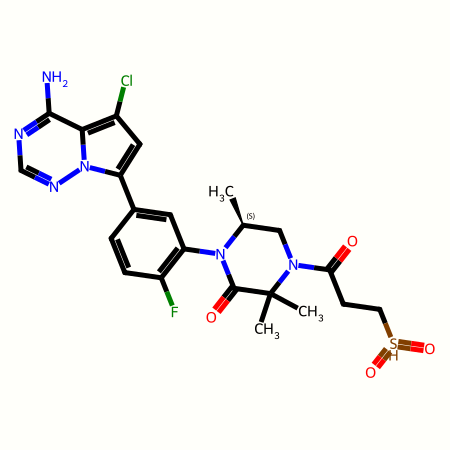 C[C@H]1CN(C(=O)CC[SH](=O)=O)C(C)(C)C(=O)N1c1cc(-c2cc(Cl)c3c(N)ncnn23)ccc1F